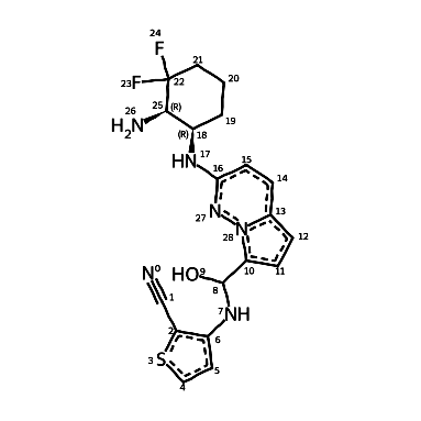 N#Cc1sccc1NC(O)c1ccc2ccc(N[C@@H]3CCCC(F)(F)[C@@H]3N)nn12